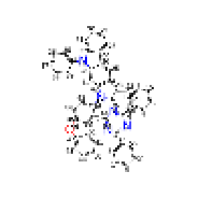 c1ccc(-c2nc(-c3ccccc3)nc(-c3c(-n4c5ccccc5c5cc6c7ccccc7n(-c7ccccc7)c6cc54)ccc4oc5ccccc5c34)n2)cc1